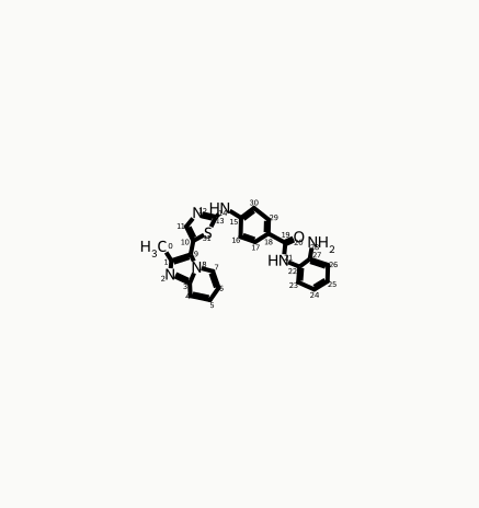 Cc1nc2ccccn2c1-c1cnc(Nc2ccc(C(=O)Nc3ccccc3N)cc2)s1